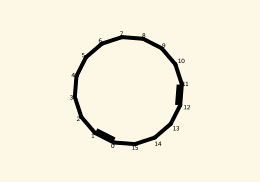 C1=CCCCCCCCCCC=CCCC1